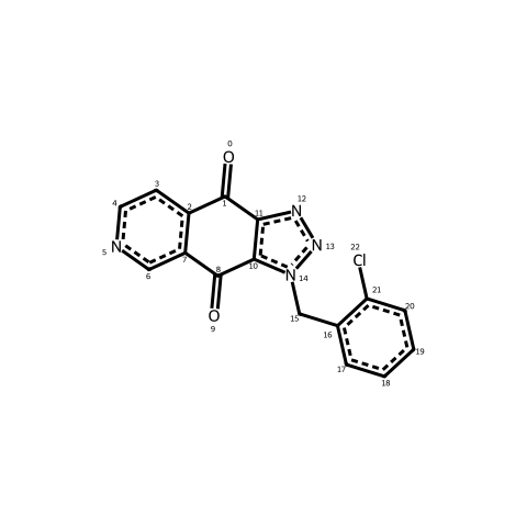 O=C1c2ccncc2C(=O)c2c1nnn2Cc1ccccc1Cl